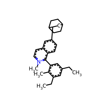 CCc1cc(CC)c(C)c(-c2c3ccc(C4CC5CCC4CC5)cc3cc[n+]2C)c1